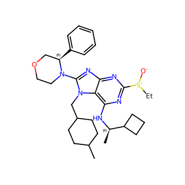 CC[S+]([O-])c1nc(N[C@H](C)C2CCC2)c2c(n1)nc(N1CCOC[C@H]1c1ccccc1)n2CC1CCC(C)CC1